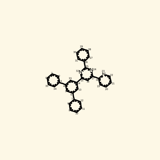 c1ccc(-c2cc(-c3ccccc3)cc(-c3cc(-c4ccccn4)nc(-c4ccccc4)n3)c2)cc1